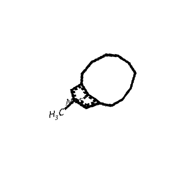 CSc1c2cc(C)cc1CCCCCCCCC2